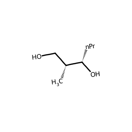 CCC[C@H](O)[C@H](C)CO